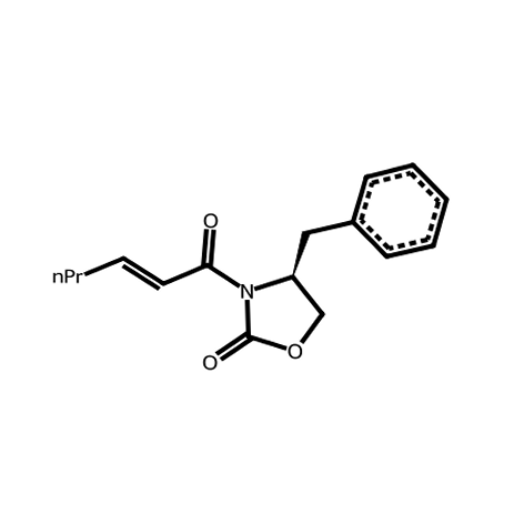 CCCC=CC(=O)N1C(=O)OC[C@@H]1Cc1ccccc1